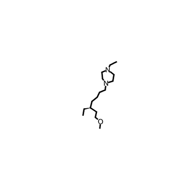 CC[C@@H](CCCCN1CCN(CC)CC1)CCOC